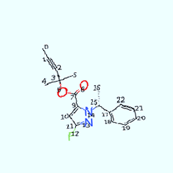 CC#CC(C)(C)OC(=O)c1cc(F)nn1[C@H](C)c1ccccc1